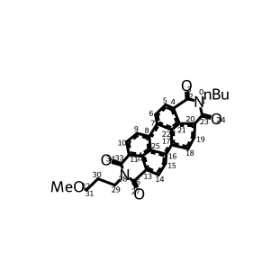 CCCCN1C(=O)c2ccc3c4ccc5c6c(ccc(c7ccc(c2c37)C1=O)c64)C(=O)N(CCCOC)C5=O